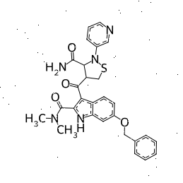 CN(C)C(=O)c1[nH]c2cc(OCc3ccccc3)ccc2c1C(=O)C1CSN(c2cccnc2)C1C(N)=O